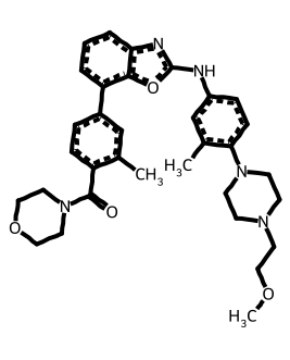 COCCN1CCN(c2ccc(Nc3nc4cccc(-c5ccc(C(=O)N6CCOCC6)c(C)c5)c4o3)cc2C)CC1